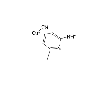 Cc1cccc([NH-])n1.N#[C][Cu+]